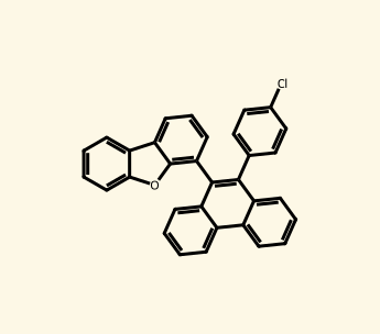 Clc1ccc(-c2c(-c3cccc4c3oc3ccccc34)c3ccccc3c3ccccc23)cc1